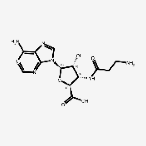 NCCC(=O)N[C@H]1[C@@H](O)[C@H](n2cnc3c(N)ncnc32)O[C@@H]1C(=O)O